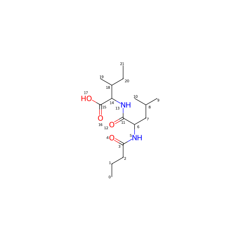 CCCC(=O)NC(CC(C)C)C(=O)NC(C(=O)O)C(C)CC